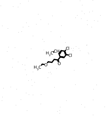 C=C.CCOCCCC(=O)c1ccc(Cl)c(Cl)c1